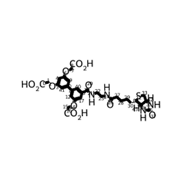 O=C(O)COc1cc(OCC(=O)O)cc(-c2cc(OCC(=O)O)cc(C(=O)NCCNC(=O)CCCC[C@@H]3SC[C@@H]4NC(=O)N[C@@H]43)c2)c1